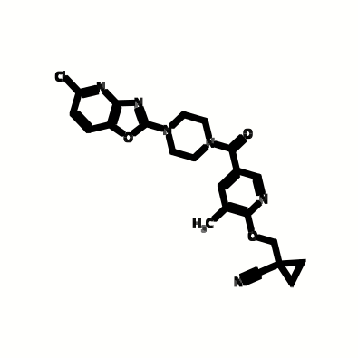 Cc1cc(C(=O)N2CCN(c3nc4nc(Cl)ccc4o3)CC2)cnc1OCC1(C#N)CC1